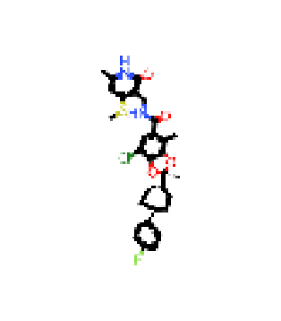 CSc1cc(C)[nH]c(=O)c1CNC(=O)c1cc(Cl)c2c(c1C)O[C@@](C)([C@H]1CC[C@H](c3ccc(F)cc3)CC1)O2